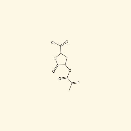 C=C(C)C(=O)OC1CC(C(=O)Cl)OC1=O